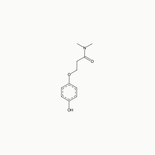 CN(C)C(=O)CCOc1ccc(O)cc1